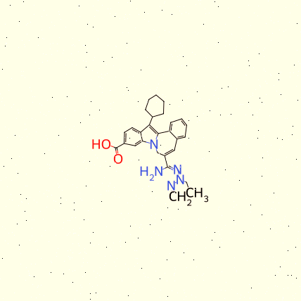 C=NN(CC)/N=C(\N)C1=Cc2ccccc2-c2c(C3CCCCC3)c3ccc(C(=O)O)cc3n2C1